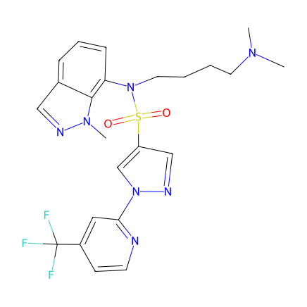 CN(C)CCCCN(c1cccc2cnn(C)c12)S(=O)(=O)c1cnn(-c2cc(C(F)(F)F)ccn2)c1